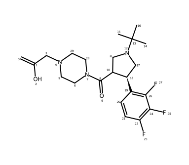 C=C(O)CN1CCN(C(=O)C2CN(C(C)(C)C)C[C@H]2c2ccc(F)c(F)c2F)CC1